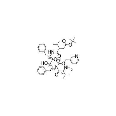 CC(C)C(CC(=O)OC(C)(C)C)C(=O)N[C@@H](Cc1ccccc1)[C@H](O)[C@H](O)[C@H](Cc1ccccc1)N(C(=O)OCc1cccnc1)C(=O)[C@@H](N)C(C)C